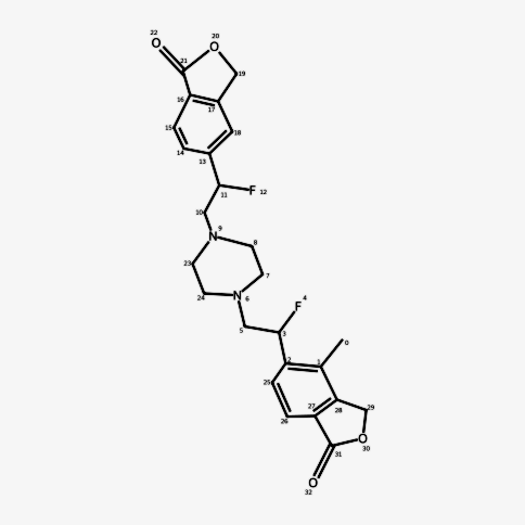 Cc1c(C(F)CN2CCN(CC(F)c3ccc4c(c3)COC4=O)CC2)ccc2c1COC2=O